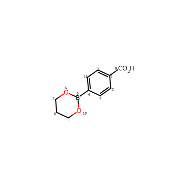 O=C(O)c1ccc(B2OCCCO2)cc1